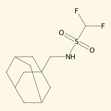 O=S(=O)(NCC12CC3CC(CC(C3)C1)C2)C(F)F